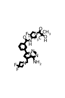 CC(O)(C(=O)N1C[C@H](F)[C@H](NC(=O)c2cccc(-c3cc(CN4CC(F)(F)C4)c4c(N)ncnn34)c2)C1)C(F)(F)F